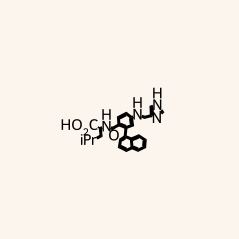 CC(C)C[C@H](NC(=O)c1ccc(NCc2c[nH]cn2)cc1-c1cccc2ccccc12)C(=O)O